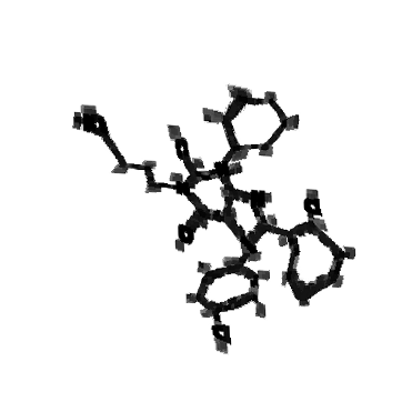 O=c1c2c(nc(-c3ccccc3Cl)n2-c2ccc(Cl)cc2)n(C2CCCCC2)c(=O)n1CCCO